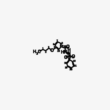 CCCCOc1cccc(C(=O)NNS(=O)(=O)c2ccccc2)c1